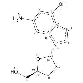 Nc1cc(O)c2ncn([C@@H]3CC[C@@H](CO)O3)c2c1